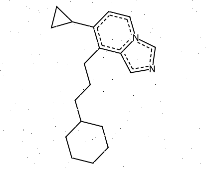 c1cn2cncc2c(CCCC2CCCCC2)c1C1CC1